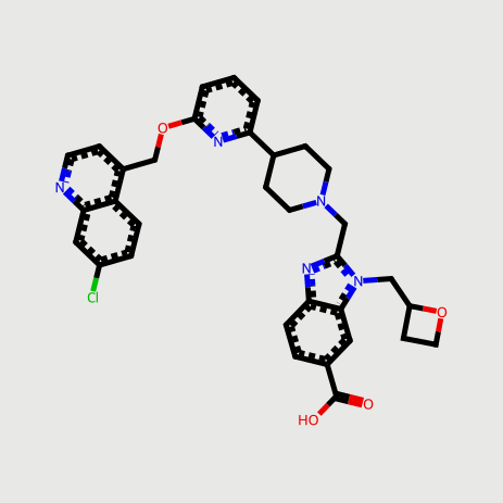 O=C(O)c1ccc2nc(CN3CCC(c4cccc(OCc5ccnc6cc(Cl)ccc56)n4)CC3)n(CC3CCO3)c2c1